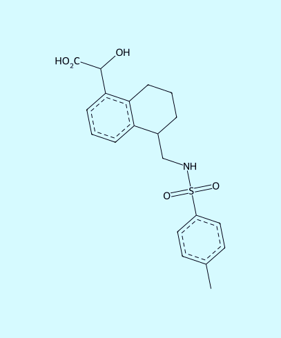 Cc1ccc(S(=O)(=O)NCC2CCCc3c2cccc3C(O)C(=O)O)cc1